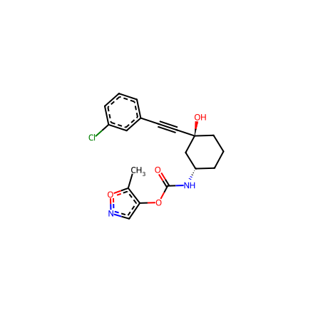 Cc1oncc1OC(=O)N[C@H]1CCC[C@@](O)(C#Cc2cccc(Cl)c2)C1